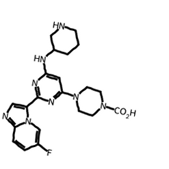 O=C(O)N1CCN(c2cc(NC3CCCNC3)nc(-c3cnc4ccc(F)cn34)n2)CC1